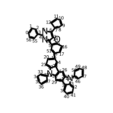 c1ccc(-c2nc(-c3ccccc3)c3oc4ccc(-c5ccc6c(c5)c5cc7c(cc5n6-c5ccccc5)c5ccccc5n7-c5ccccc5)cc4c3n2)cc1